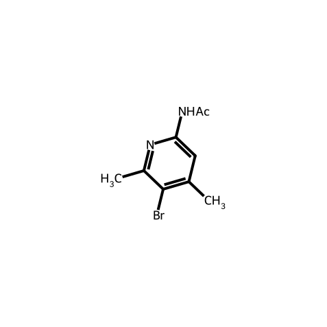 CC(=O)Nc1cc(C)c(Br)c(C)n1